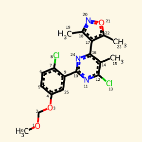 COCOc1ccc(Cl)c(-c2nc(Cl)c(C)c(-c3c(C)noc3C)n2)c1